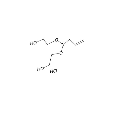 C=CCN(OCCO)OCCO.Cl